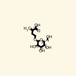 C=C(CCOC1O[C@H](CO)[C@H](O)[C@H](O)[C@H]1O)C(=O)O